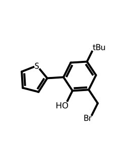 CC(C)(C)c1cc(CBr)c(O)c(-c2cccs2)c1